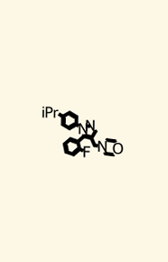 CC(C)c1ccc(-n2ncc(CN3CCOCC3)c2-c2ccccc2F)cc1